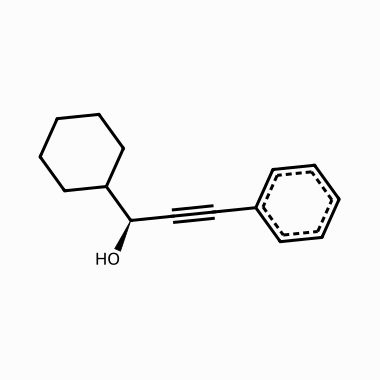 O[C@H](C#Cc1ccccc1)C1CCCCC1